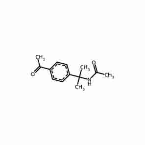 CC(=O)NC(C)(C)c1ccc(C(C)=O)cc1